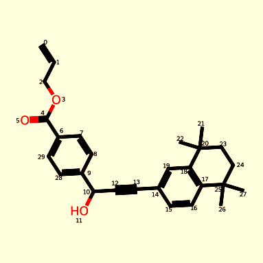 C=CCOC(=O)c1ccc(C(O)C#Cc2ccc3c(c2)C(C)(C)CCC3(C)C)cc1